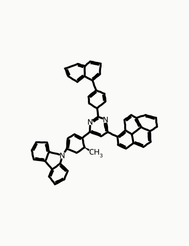 C[C@H]1CC(n2c3ccccc3c3ccccc32)=CC=C1c1cc(C2=C3C=CC4=C5C(=CC=C(C=C2)C35)CC=C4)nc(C2C=CC(c3cccc4ccccc34)=CC2)n1